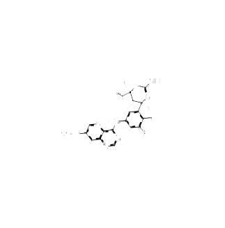 COc1cnc2c(Nc3cc(F)c(F)c([C@]4(C)C[C@](C)(CO)SC(N)=N4)c3)ncnc2c1